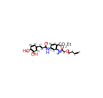 C=CCCOCC(=O)N(C)c1cc(NC(=O)C=Cc2ccc(O)c(O)c2)ccc1C(=O)OCC